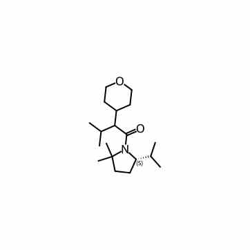 CC(C)C(C(=O)N1[C@H](C(C)C)CCC1(C)C)C1CCOCC1